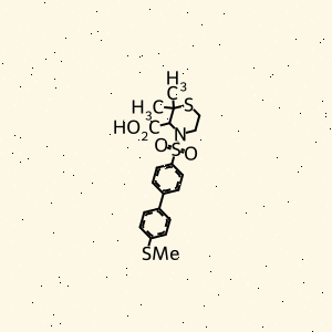 CSc1ccc(-c2ccc(S(=O)(=O)N3CCSC(C)(C)C3C(=O)O)cc2)cc1